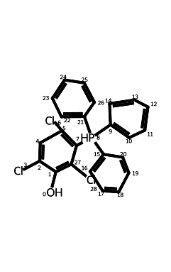 Oc1c(Cl)cc(Cl)c([PH](c2ccccc2)(c2ccccc2)c2ccccc2)c1Cl